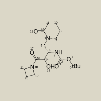 CC(C)(C)OC(=O)N[C@@H](CN1CCCCC1=O)C(O)C(=O)N1CCC1